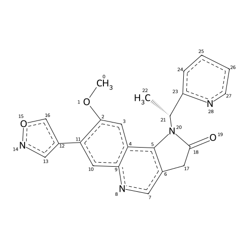 COc1cc2c3c(cnc2cc1-c1cnoc1)CC(=O)N3[C@H](C)c1ccccn1